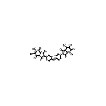 O=C1c2c(Br)c(Br)c(Br)c(Br)c2C(=O)N1c1ccc(Oc2ccc(N3C(=O)c4c(Br)c(Br)c(Br)c(Br)c4C3=O)cc2)cc1